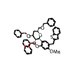 COc1cc(OCc2ccccc2)c([C@@H]2O[C@H](COCc3ccccc3)C[C@H](OCc3ccccc3)[C@H]2OCc2ccccc2)cc1Cc1cc2ccccc2s1